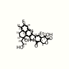 CC[C@@]1(O)C(=O)OCc2c1cc1n(c2=O)Cc2c-1nc1cc(F)c(C)c3c1c2[C@](O)(CCO)CC3